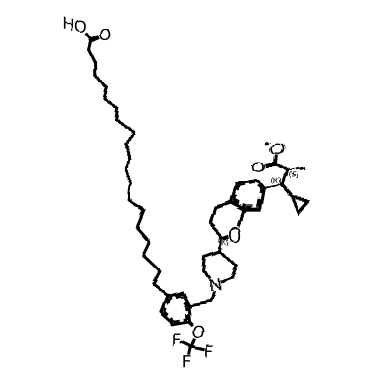 COC(=O)[C@@H](C)[C@H](c1ccc2c(c1)O[C@@H](C1CCN(Cc3cc(CCCCCCCCCCCCCCCCCCCC(=O)O)ccc3OC(F)(F)F)CC1)CC2)C1CC1